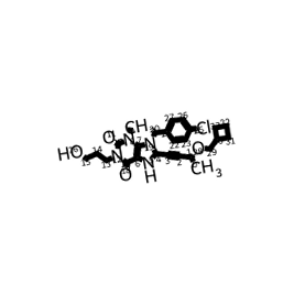 CC(C#CC1Nc2c(n(C)c(=O)n(CCCO)c2=O)N1Cc1ccc(Cl)cc1)OCC1CCC1